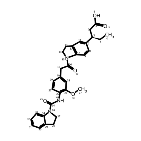 CC[C@H](CC(=O)O)c1ccc2c(c1)CCN2C(=O)Cc1ccc(NC(=O)N2CCc3ccccc32)c(OC)c1